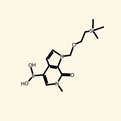 Cn1cc(B(O)O)c2ccn(COCC[Si](C)(C)C)c2c1=O